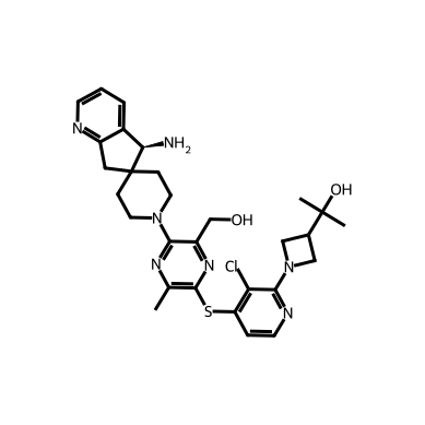 Cc1nc(N2CCC3(CC2)Cc2ncccc2[C@H]3N)c(CO)nc1Sc1ccnc(N2CC(C(C)(C)O)C2)c1Cl